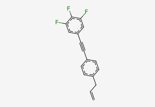 C=CCc1ccc(C#Cc2cc(F)c(F)c(F)c2)cc1